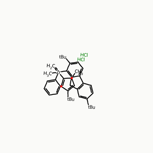 Cl.Cl.[CH2]=[Zr]([CH3])([C]1=CC(C(C)(C)C)=CC1C)([c]1ccccc1)[c]1c(C(C)(C)C)ccc2c1Cc1cc(C(C)(C)C)ccc1-2